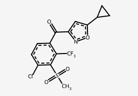 CS(=O)(=O)c1c(Cl)ccc(C(=O)c2cc(C3CC3)on2)c1C(F)(F)F